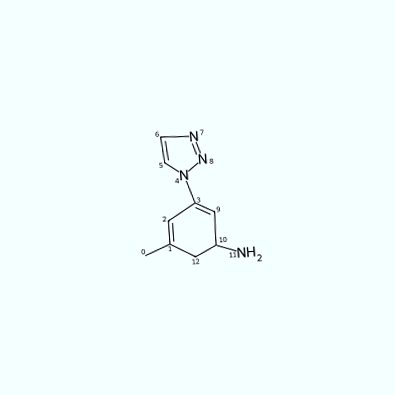 CC1=CC(n2ccnn2)=CC(N)C1